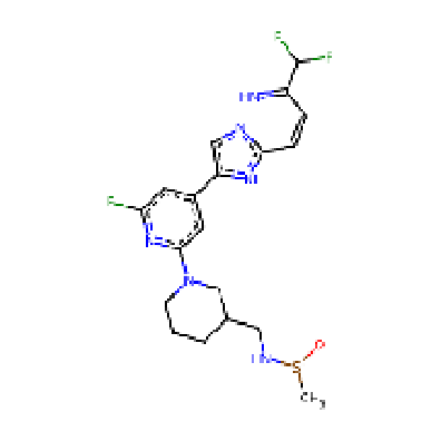 C[S+]([O-])NCC1CCCN(c2cc(-c3cnc(/C=C\C(=N)C(F)F)[nH]3)cc(F)n2)C1